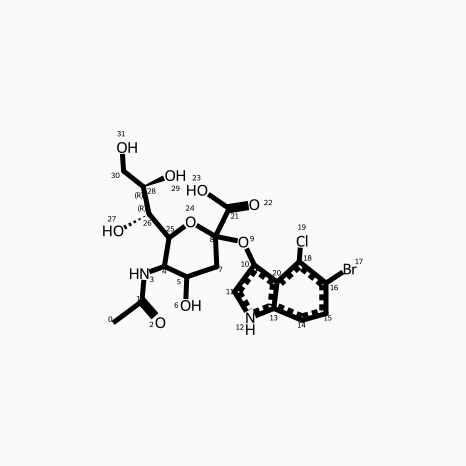 CC(=O)NC1C(O)CC(Oc2c[nH]c3ccc(Br)c(Cl)c23)(C(=O)O)OC1[C@H](O)[C@H](O)CO